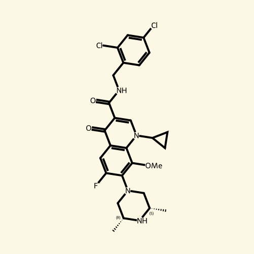 COc1c(N2C[C@@H](C)N[C@@H](C)C2)c(F)cc2c(=O)c(C(=O)NCc3ccc(Cl)cc3Cl)cn(C3CC3)c12